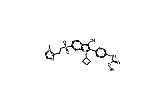 CC(C)OC(=O)Nc1ccc(-c2c(C#N)c3ccc(S(=O)(=O)CCc4nccn4C)cc3n2C2CCC2)cc1